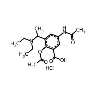 CCN(CC)C(C)c1cc(NC(C)=O)cc(C(=O)O)c1OC(C)=O.Cl